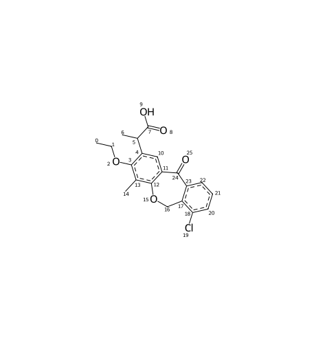 CCOc1c(C(C)C(=O)O)cc2c(c1C)OCc1c(Cl)cccc1C2=O